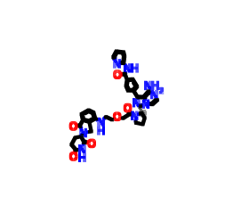 Nc1nccn2c([C@@H]3CCCN3C(=O)COCCNc3cccc4c3CN(C3CCC(=O)NC3=O)C4=O)nc(-c3ccc(C(=O)Nc4ccccn4)cc3)c12